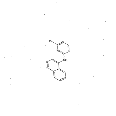 Clc1nccc(Nc2cnnc3ccccc23)n1